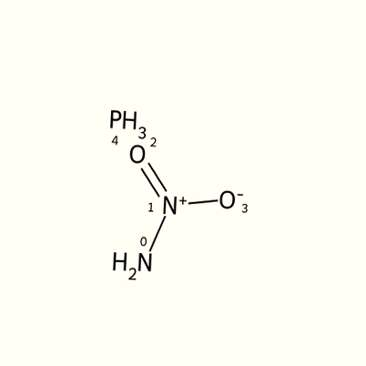 N[N+](=O)[O-].P